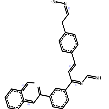 C=C(/C=c1/cccc/c1=C/C)c1cccc(C(/C=C/c2ccc(C/C=N\CCCC)cc2)=N/C=N)c1